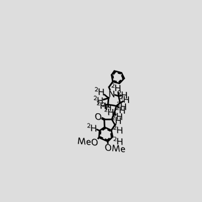 [2H]c1c(OC)c(OC)c([2H])c2c1C(=O)C(C([2H])([2H])C1([2H])C([2H])([2H])C([2H])([2H])N(Cc3ccccc3)C([2H])([2H])C1([2H])[2H])C2([2H])[2H]